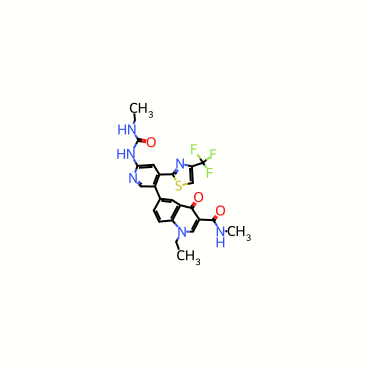 CCNC(=O)Nc1cc(-c2nc(C(F)(F)F)cs2)c(-c2ccc3c(c2)c(=O)c(C(=O)NC)cn3CC)cn1